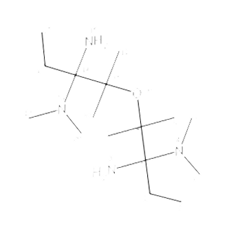 CCC(N)(N(C)C)C(C)(C)OC(C)(C)C(N)(CC)N(C)C